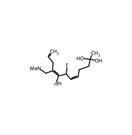 C=CC/C(CNC)=C(/CCC)C(F)/C=C\CCC(C)(O)O